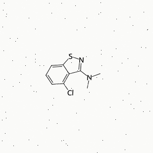 CN(C)c1nsc2cccc(Cl)c12